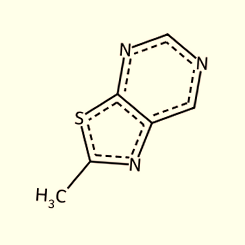 Cc1nc2cncnc2s1